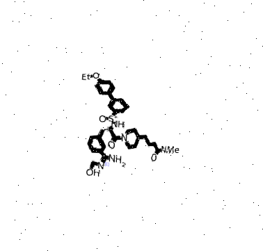 CCOc1ccc(-c2cccc([S+]([O-])N[C@@H](Cc3cccc(/C(N)=N\CO)c3)C(=O)N3CCC(CCCC(=O)NC)CC3)c2)cc1